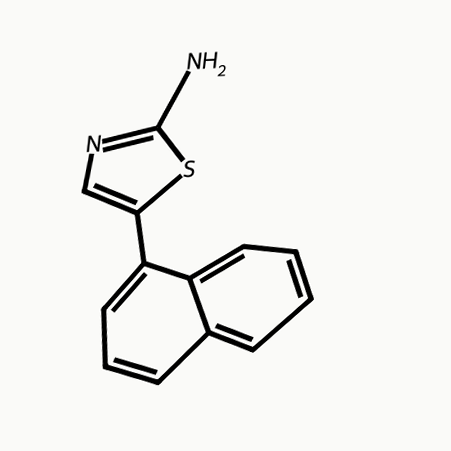 Nc1ncc(-c2cccc3ccccc23)s1